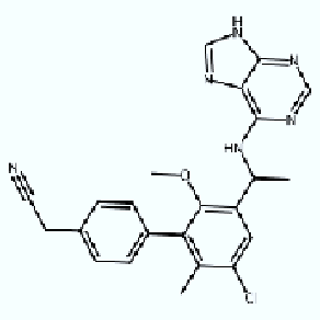 COc1c(C(C)Nc2ncnc3[nH]cnc23)cc(Cl)c(C)c1-c1ccc(CC#N)cc1